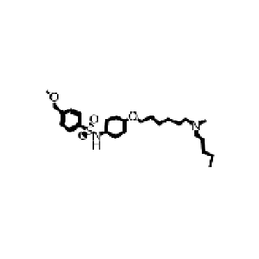 CCCCCN(C)CCCCCCOC1CCC(NS(=O)(=O)c2ccc(COC)cc2)CC1